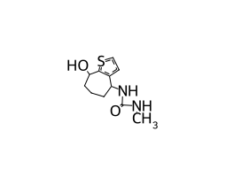 CNC(=O)NC1CCCC(O)c2sccc21